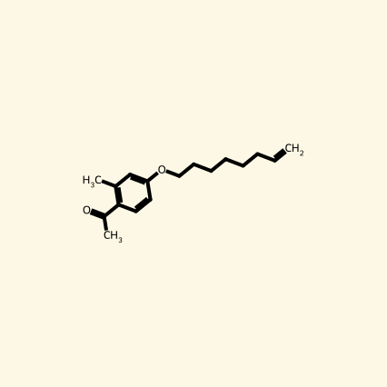 C=CCCCCCCOc1ccc(C(C)=O)c(C)c1